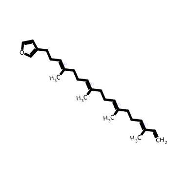 C=C/C(C)=C/CC/C(C)=C/CC/C(C)=C/CC/C(C)=C/CCc1ccoc1